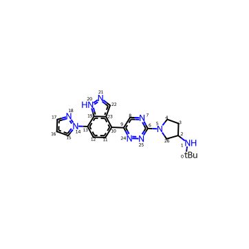 CC(C)(C)NC1CCN(c2ncc(-c3ccc(-n4cccn4)c4[nH]ncc34)nn2)C1